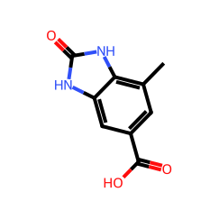 Cc1cc(C(=O)O)cc2[nH]c(=O)[nH]c12